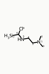 CN(C)CCNC([SiH3])Cl